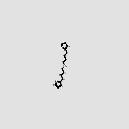 c1coc(CCCCOCCCCc2ccco2)c1